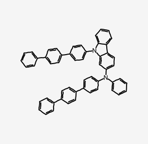 c1ccc(-c2ccc(-c3ccc(N(c4ccccc4)c4ccc5c6ccccc6n(-c6ccc(-c7ccc(-c8ccccc8)cc7)cc6)c5c4)cc3)cc2)cc1